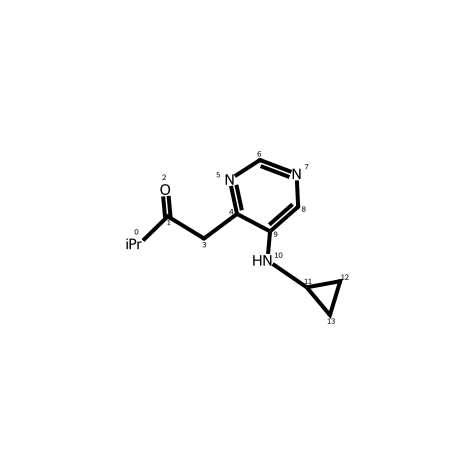 CC(C)C(=O)Cc1ncncc1NC1CC1